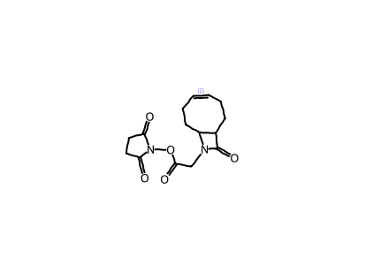 O=C(CN1C(=O)C2CC/C=C\CCC21)ON1C(=O)CCC1=O